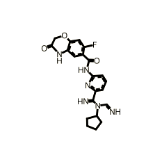 N=CN(C(=N)c1cccc(NC(=O)c2cc3c(cc2F)OCC(=O)N3)n1)C1CCCC1